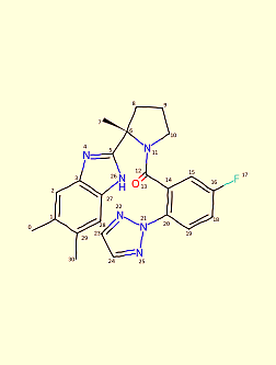 Cc1cc2nc([C@]3(C)CCCN3C(=O)c3cc(F)ccc3-n3nccn3)[nH]c2cc1C